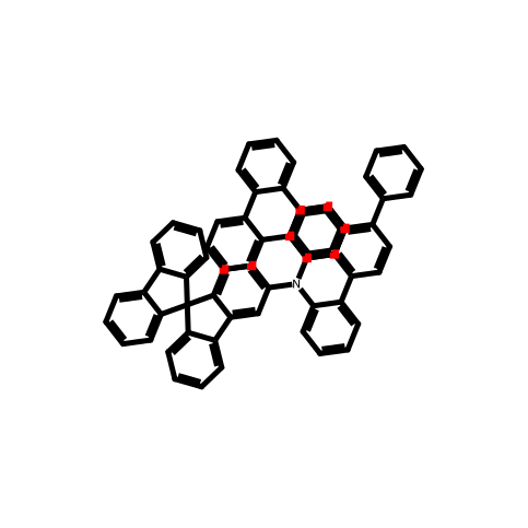 c1ccc(-c2ccc(-c3ccccc3N(c3ccc4c(c3)-c3ccccc3C43c4ccccc4-c4ccccc43)c3ccccc3-c3ccccc3-c3ccccc3-c3ccccc3)cc2)cc1